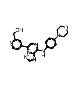 OCc1cc(-c2cnc(Nc3ccc(N4CCOCC4)cc3)c3ncnn23)ccn1